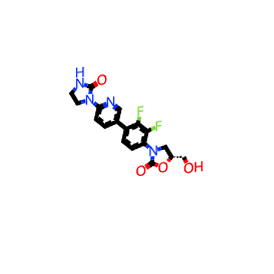 O=C1NCCN1c1ccc(-c2ccc(N3C[C@H](CO)OC3=O)c(F)c2F)cn1